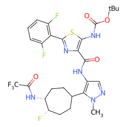 Cn1ncc(NC(=O)c2nc(-c3c(F)cccc3F)sc2NC(=O)OC(C)(C)C)c1C1CC[C@H](F)[C@H](NC(=O)C(F)(F)F)CC1